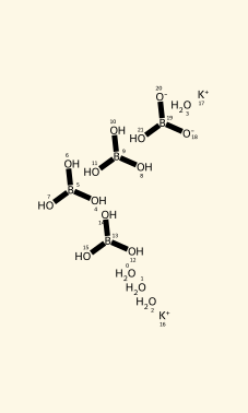 O.O.O.O.OB(O)O.OB(O)O.OB(O)O.[K+].[K+].[O-]B([O-])O